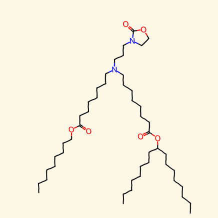 CCCCCCCCCOC(=O)CCCCCCCN(CCCCCCCC(=O)OC(CCCCCCCC)CCCCCCCC)CCCN1CCOC1=O